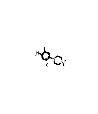 Cc1cc(N2CC[N+](C)(C)CC2)ccc1N.[Cl-]